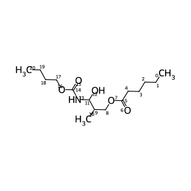 CCCCCC(=O)OC[C@@H](C)C(O)NC(=O)OCCCC